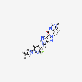 Cn1cnc2c1CC[C@H]2NC(=O)c1cn(Cc2ccc(N3CC4(CC4)C3)nc2F)cn1